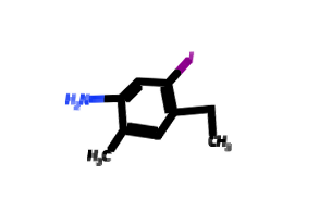 CCc1cc(C)c(N)cc1I